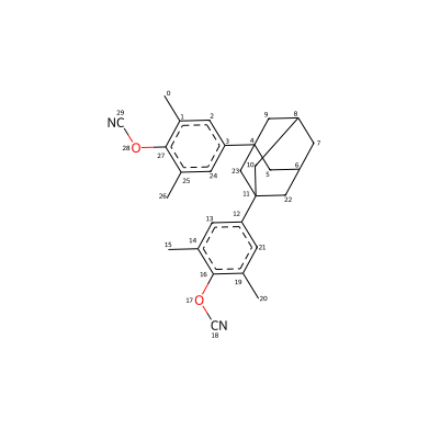 Cc1cc(C23CC4CC(C2)CC(c2cc(C)c(OC#N)c(C)c2)(C4)C3)cc(C)c1OC#N